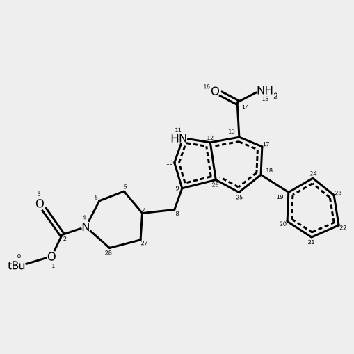 CC(C)(C)OC(=O)N1CCC(Cc2c[nH]c3c(C(N)=O)cc(-c4ccccc4)cc23)CC1